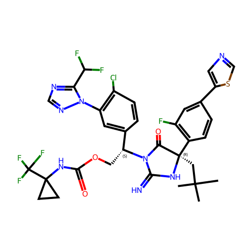 CC(C)(C)C[C@]1(c2ccc(-c3cncs3)cc2F)NC(=N)N([C@H](COC(=O)NC2(C(F)(F)F)CC2)c2ccc(Cl)c(-n3ncnc3C(F)F)c2)C1=O